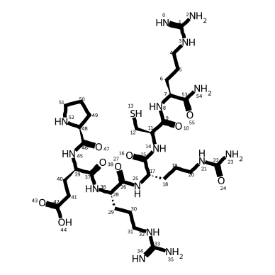 N=C(N)NCCC[C@H](NC(=O)[C@H](CS)NC(=O)[C@H](CCCNC(N)=O)NC(=O)[C@H](CCCNC(=N)N)NC(=O)[C@@H](CCC(=O)O)NC(=O)[C@@H]1CCCN1)C(N)=O